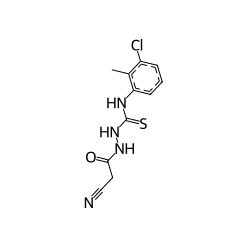 Cc1c(Cl)cccc1NC(=S)NNC(=O)CC#N